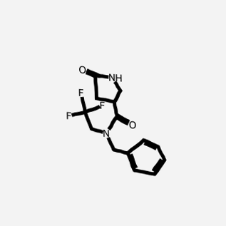 O=C1CC(C(=O)N(Cc2ccccc2)CC(F)(F)F)CN1